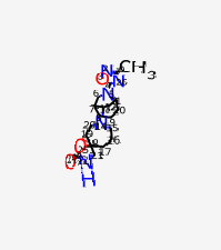 Cc1noc(N2CC3CCCC2CC3N2CCCC3(CC2)CNC(=O)O3)n1